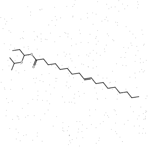 CCCCCCCCC=CCCCCCCCC(=O)OC(CC)OC(C)C